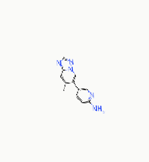 Cc1cc2ncnn2cc1-c1ccc(N)nc1